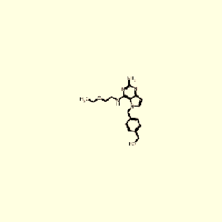 CCOCCNc1nc(N)nc2ccn(Cc3ccc(CO)cc3)c12